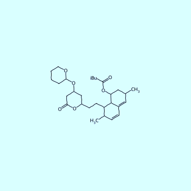 CCC(C)C(=O)OC1CC(C)C=C2C=CC(C)C(CCC3CC(OC4CCCCO4)CC(=O)O3)C21